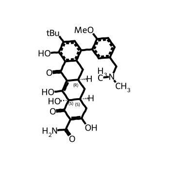 COc1ccc(CN(C)C)cc1-c1cc(C(C)(C)C)c(O)c2c1C[C@H]1C[C@H]3CC(O)=C(C(N)=O)C(=O)[C@@]3(O)C(O)=C1C2=O